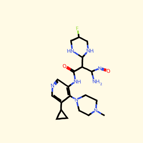 CN1CCN(c2c(NC(=O)C(C(N)N=O)C3NCC(F)CN3)cncc2C2CC2)CC1